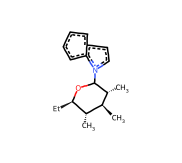 CC[C@H]1OC(n2ccc3ccccc32)[C@H](C)[C@@H](C)[C@@H]1C